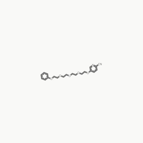 N#Cc1ccc(OCCOCCOCCOCCOc2ccccc2)cn1